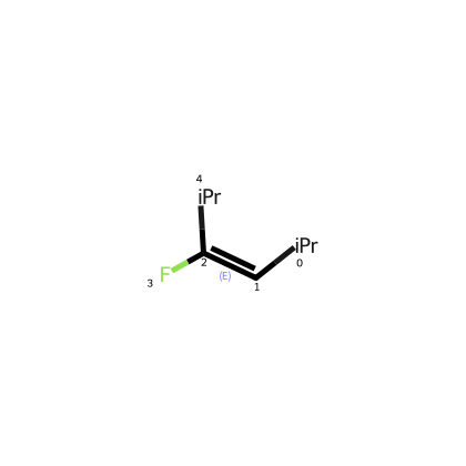 CC(C)/C=C(/F)C(C)C